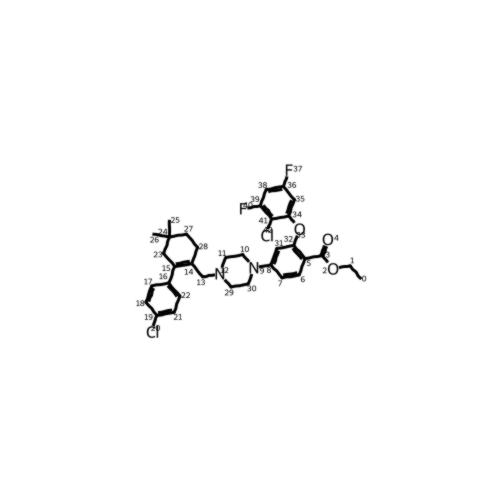 CCOC(=O)c1ccc(N2CCN(CC3=C(c4ccc(Cl)cc4)CC(C)(C)CC3)CC2)cc1Oc1cc(F)cc(F)c1Cl